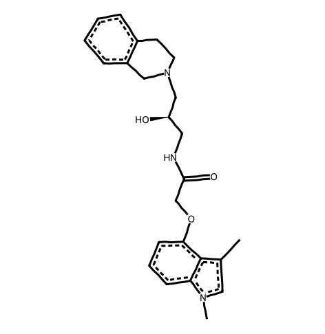 Cc1cn(C)c2cccc(OCC(=O)NC[C@@H](O)CN3CCc4ccccc4C3)c12